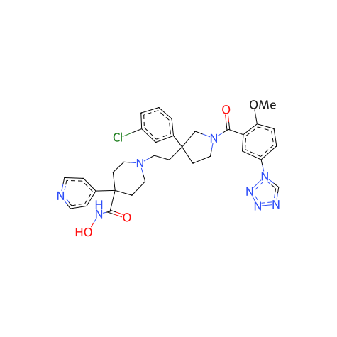 COc1ccc(-n2cnnn2)cc1C(=O)N1CCC(CCN2CCC(C(=O)NO)(c3ccncc3)CC2)(c2cccc(Cl)c2)C1